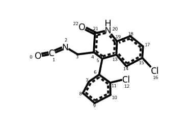 O=C=NCc1c(-c2ccccc2Cl)c2cc(Cl)ccc2[nH]c1=O